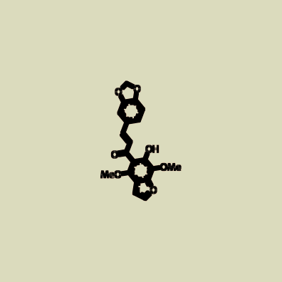 COc1c(C(=O)/C=C/c2ccc3c(c2)OCO3)c(O)c(OC)c2occc12